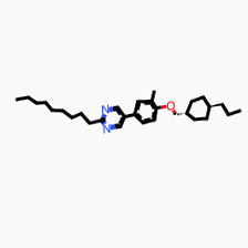 CCCCCCCCCc1ncc(-c2ccc(OC[C@H]3CC[C@H](CCC)CC3)c(C)c2)cn1